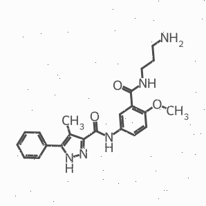 COc1ccc(NC(=O)c2n[nH]c(-c3ccccc3)c2C)cc1C(=O)NCCCN